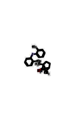 CC(C)(C)c1ccccc1[I+]c1ccccc1C(C)(C)C.CC12CCC(CC1=O)C2(C)C